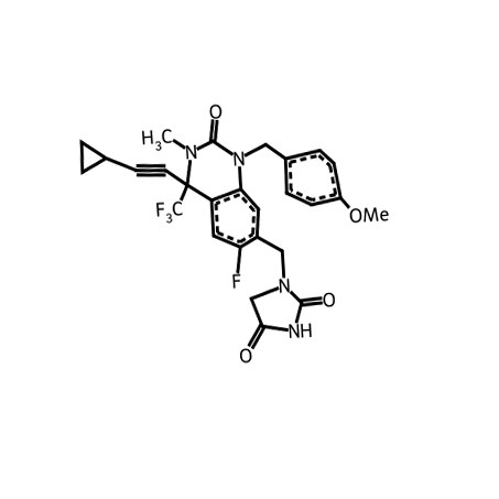 COc1ccc(CN2C(=O)N(C)C(C#CC3CC3)(C(F)(F)F)c3cc(F)c(CN4CC(=O)NC4=O)cc32)cc1